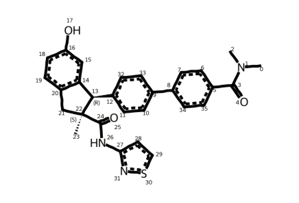 CN(C)C(=O)c1ccc(-c2ccc([C@@H]3c4cc(O)ccc4C[C@]3(C)C(=O)Nc3ccsn3)cc2)cc1